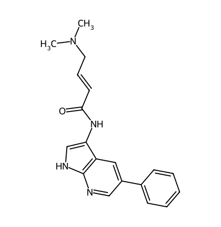 CN(C)CC=CC(=O)Nc1c[nH]c2ncc(-c3ccccc3)cc12